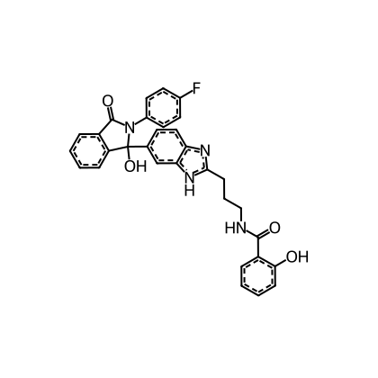 O=C(NCCCc1nc2ccc(C3(O)c4ccccc4C(=O)N3c3ccc(F)cc3)cc2[nH]1)c1ccccc1O